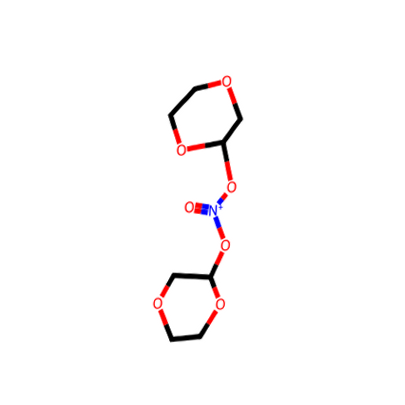 O=[N+](OC1COCCO1)OC1COCCO1